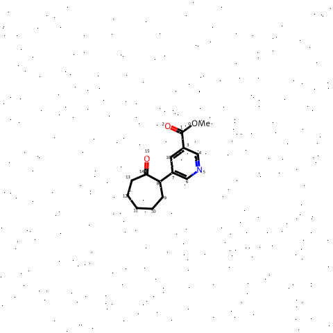 COC(=O)c1cncc(C2CCCCCC2=O)c1